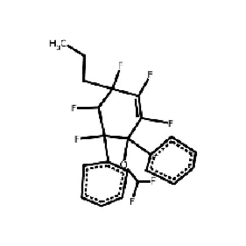 CCCC1(F)C(F)=C(F)C(OC(F)F)(c2ccccc2)C(F)(c2ccccc2)C1F